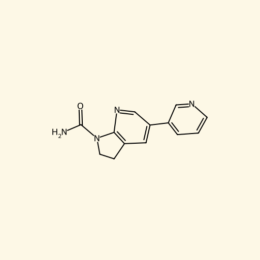 NC(=O)N1CCc2cc(-c3cccnc3)cnc21